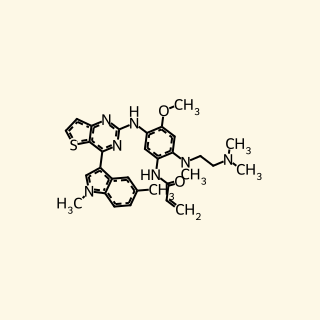 C=CC(=O)Nc1cc(Nc2nc(-c3cn(C)c4ccc(C)cc34)c3sccc3n2)c(OC)cc1N(C)CCN(C)C